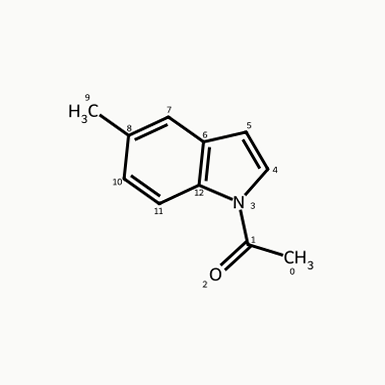 CC(=O)n1ccc2cc(C)ccc21